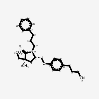 C[C@@]1(CC(=O)O)C[C@@H](COc2ccc(CCCC#N)cc2)N(CCCc2ccccc2)C1=O